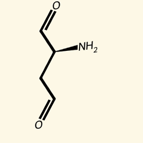 N[C@H](C=O)CC=O